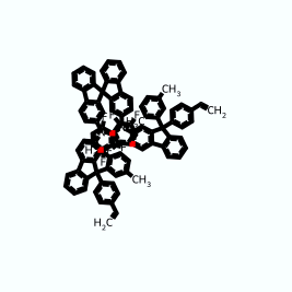 C=Cc1ccc(C2(c3cc(C)ccc3C)c3ccccc3-c3ccc(N(c4ccc5c(c4)C4(c6ccccc6-5)c5ccccc5-c5ccc(N(c6ccc7c(c6)C(c6ccc(C=C)cc6)(c6cc(C)ccc6C)c6ccccc6-7)c6c(F)ccc(F)c6F)cc54)c4c(F)ccc(F)c4F)cc32)cc1